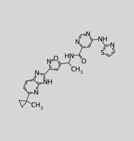 CC(NC(=O)c1cc(Nc2nccs2)ncn1)c1cc(-c2nc3ccc(C4(C)CC4)nc3[nH]2)no1